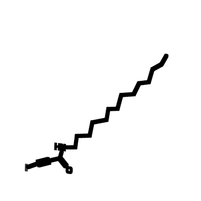 CCCCCCCCCCCCCCNC(=O)C#CI